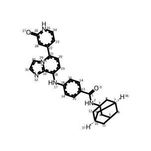 O=C(NC12CC3C[C@H](C1)C[C@@H](C3)C2)c1ccc(Nc2ccc(-c3cc[nH]c(=O)c3)n3ccnc23)cc1